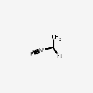 CCC(C)[N+]#P